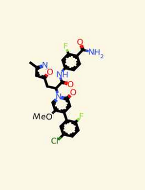 COc1cn(C(Cc2cc(C)no2)C(=O)Nc2ccc(C(N)=O)c(F)c2)c(=O)cc1-c1cc(Cl)ccc1F